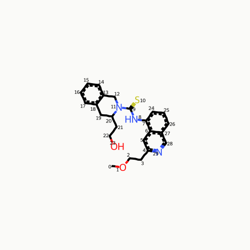 COCCc1cc2c(NC(=S)N3Cc4ccccc4CC3CCO)cccc2cn1